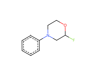 FC1CN(c2[c]cccc2)CCO1